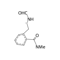 CNC(=O)c1ccccc1C[CH]NC=O